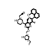 N#CC[C@H]1CN(c2nc(OC[C@@H]3C[C@@H](CF)CN3)nc3c(F)c(-c4cccc5cccc(Cl)c45)ncc23)CCN1